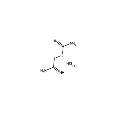 Cl.Cl.N=C(N)SSC(=N)N